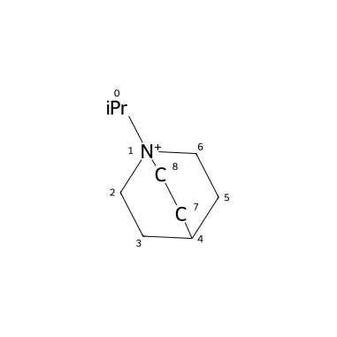 CC(C)[N+]12CCC(CC1)CC2